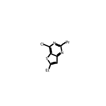 CCc1cc2nc(C(C)C)nc(Cl)c2s1